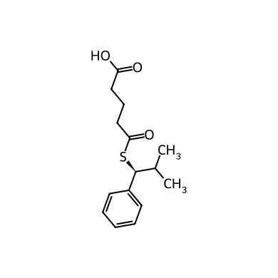 CC(C)[C@H](SC(=O)CCCC(=O)O)c1ccccc1